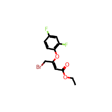 CCOC(=O)/C=C(/CBr)Oc1ccc(F)cc1F